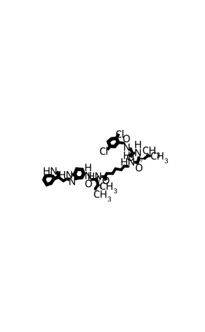 CC[C@@H](C)[C@H](NC(=O)CCCCCCNC(=O)[C@H](CC(C)C)NC(=O)CNC(=O)c1cc(Cl)ccc1Cl)C(=O)Nc1ccc2[nH]c(Cc3c[nH]c4ccccc34)nc2c1